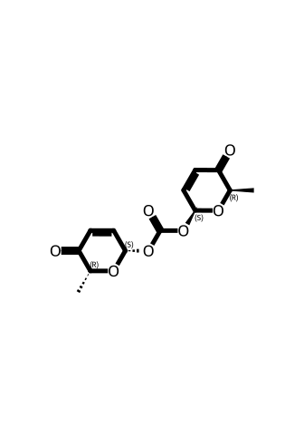 C[C@H]1O[C@@H](OC(=O)O[C@H]2C=CC(=O)[C@@H](C)O2)C=CC1=O